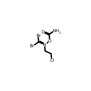 NC(=O)O[N+](CCCl)=C(Br)Br